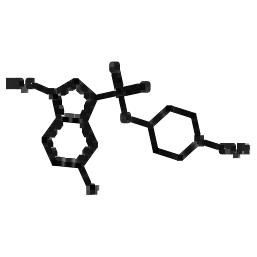 CCOC(=O)N1CCC(OS(=O)(=O)c2cn(C(=O)O)c3ccc(Br)cc23)CC1